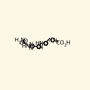 NS(=O)(=O)CCNc1ncc(-c2ccnc(Nc3cccc(CN4CCN(CC(=O)O)CC4)c3)c2)cn1